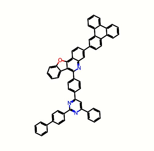 c1ccc(-c2ccc(-c3nc(-c4ccccc4)cc(-c4ccc(-c5nc6cc(-c7ccc8c9ccccc9c9ccccc9c8c7)ccc6c6oc7ccccc7c56)cc4)n3)cc2)cc1